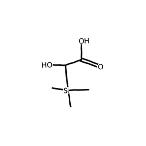 C[Si](C)(C)C(O)C(=O)O